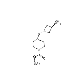 CC(C)(C)OC(=O)N1CCC(O[C@H]2C[C@H](N)C2)CC1